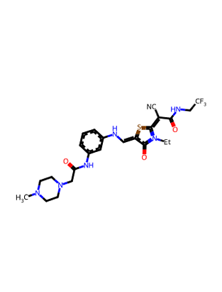 CCn1c(=C(C#N)C(=O)NCC(F)(F)F)sc(=CNc2cccc(NC(=O)CN3CCN(C)CC3)c2)c1=O